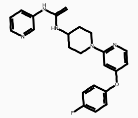 C=C(Nc1cccnc1)NC1CCN(c2cc(Oc3ccc(F)cc3)ccn2)CC1